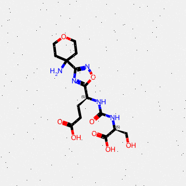 NC1(c2noc([C@H](CCC(=O)O)NC(=O)N[C@@H](CO)C(=O)O)n2)CCOCC1